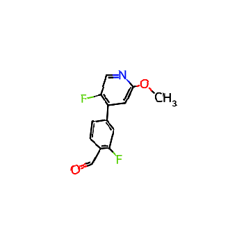 COc1cc(-c2ccc(C=O)c(F)c2)c(F)cn1